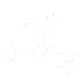 C=C(F)C(=O)N1CCN(c2nc(OC[C@@H]3CCCN3C)nc3c2CN(C2CCc4cccc(Cl)c42)C3)C[C@@H]1CC#N